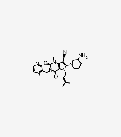 CC(C)=CCn1c(N2CCCC(N)C2)c(C#N)c2c1c(=O)n(Cc1cnccn1)c(=O)n2C